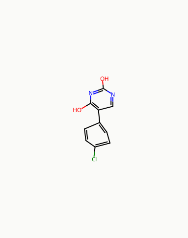 Oc1ncc(-c2ccc(Cl)cc2)c(O)n1